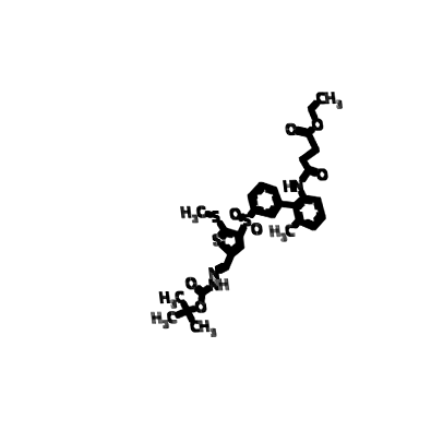 CCOC(=O)CCC(=O)Nc1cccc(C)c1-c1cccc(S(=O)(=O)c2cc(C=NNC(=O)OC(C)(C)C)sc2SC)c1